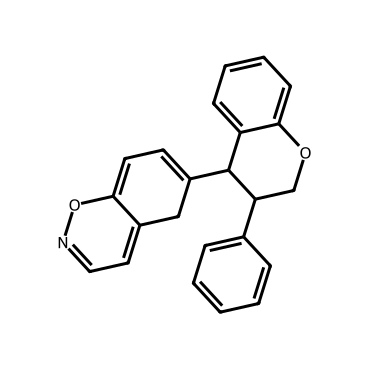 C1=NOC2=CC=C(C3c4ccccc4OCC3c3ccccc3)CC2=C1